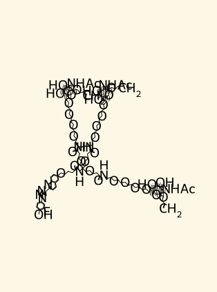 C=CCO[C@H]1O[C@H](COCCOCCOCCOCCNC(=O)CCOCC(COCCC(=O)NCCOCCOCCOCCOC[C@H]2O[C@H](OCC=C)[C@H](NC(C)=O)[C@@H](O)[C@H]2O)(COCCC(=O)NCCOCCOCCOCCOC[C@H]2O[C@H](OCC=C)[C@H](NC(C)=O)[C@@H](O)[C@H]2O)NC(=O)CCCOc2ccc3nc(-c4cn(-c5ccc(O)c(F)c5)nn4)ccc3c2)[C@H](O)[C@H](O)[C@H]1NC(C)=O